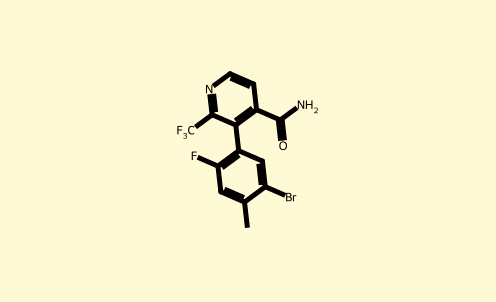 Cc1cc(F)c(-c2c(C(N)=O)ccnc2C(F)(F)F)cc1Br